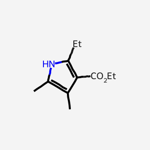 CCOC(=O)c1c(CC)[nH]c(C)c1C